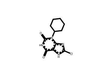 O=c1[nH]c(=O)n(C2CCCCC2)c2nc(Cl)[nH]c12